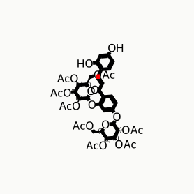 CC(=O)OC[C@H]1OC(Oc2ccc(C(=O)C=Cc3ccc(O)cc3O)c(OC3O[C@H](COC(C)=O)[C@@H](OC(C)=O)[C@H](OC(C)=O)[C@H]3OC(C)=O)c2)[C@H](OC(C)=O)[C@@H](OC(C)=O)[C@@H]1OC(C)=O